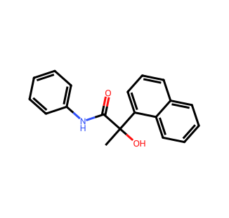 CC(O)(C(=O)Nc1ccccc1)c1cccc2ccccc12